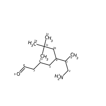 CC(CN)C(CCCC=O)CC(C)(C)C